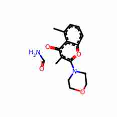 Cc1c(N2CCOCC2)oc2cccc(C)c2c1=O.NC=O